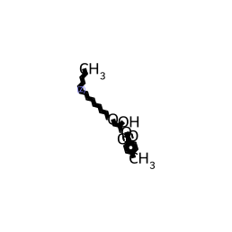 CCCC/C=C\CCCCCCCCOCC(O)COS(=O)(=O)c1ccc(C)cc1